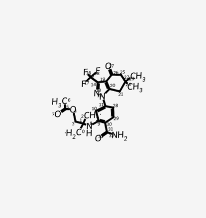 [CH2]C([CH2])(COC(C)=O)Nc1cc(-n2nc(C(F)(F)F)c3c2CC(C)(C)CC3=O)ccc1C(N)=O